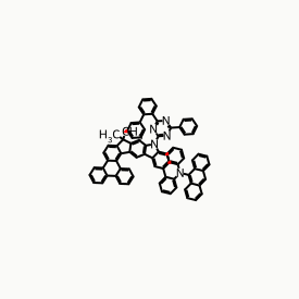 CC1(C)c2cc3c(cc2-c2c1ccc1c4ccccc4c4ccccc4c21)c1cc(-c2ccccc2N(c2ccccc2)c2c4ccccc4cc4ccccc24)ccc1n3-c1nc(-c2ccccc2)nc(-c2ccccc2-c2ccccc2)n1